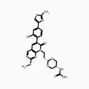 CSc1ncc2cc(-c3ccc(-c4csc(C)n4)cc3Cl)c(=O)n(CC[C@H]3OC[C@@H](NC(=O)O)CO3)c2n1